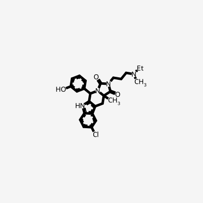 CCN(C)CCCN1C(=O)N2C(c3cccc(O)c3)c3[nH]c4ccc(Cl)cc4c3CC2(C)C1=O